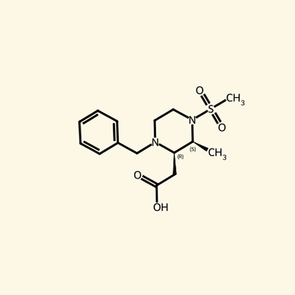 C[C@H]1[C@@H](CC(=O)O)N(Cc2ccccc2)CCN1S(C)(=O)=O